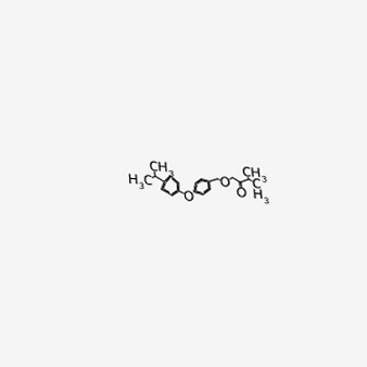 CC(C)C(=O)COCc1ccc(Oc2ccc(C(C)C)cc2)cc1